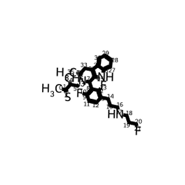 CC(=S)C(C)CN1C(c2c(F)ccc(CCCNCCCF)c2F)c2[nH]c3ccccc3c2C[C@H]1C